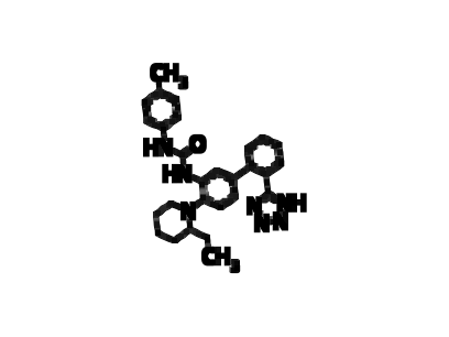 CCC1CCCCN1c1ccc(-c2ccccc2-c2nnn[nH]2)cc1NC(=O)Nc1ccc(C)cc1